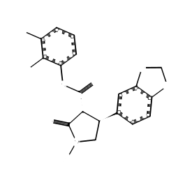 CN1C[C@H](c2ccc3c(c2)OCO3)[C@@H](C(=O)Nc2cccc(F)c2F)C1=O